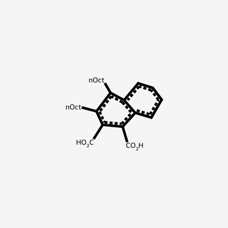 CCCCCCCCc1c(C(=O)O)c(C(=O)O)c2ccccc2c1CCCCCCCC